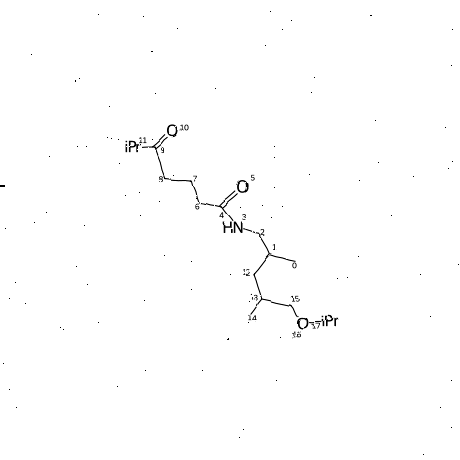 CC(CNC(=O)CCCC(=O)C(C)C)CC(C)COC(C)C